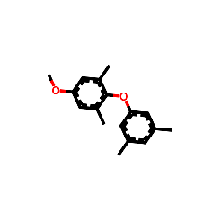 COc1cc(C)c(Oc2cc(C)cc(C)c2)c(C)c1